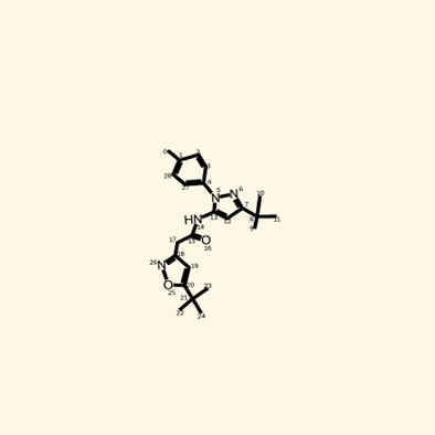 Cc1ccc(-n2nc(C(C)(C)C)cc2NC(=O)Cc2cc(C(C)(C)C)on2)cc1